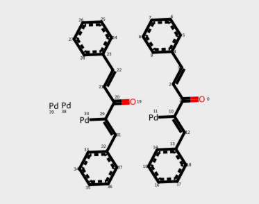 O=C(C=Cc1ccccc1)[C]([Pd])=Cc1ccccc1.O=C(C=Cc1ccccc1)[C]([Pd])=Cc1ccccc1.[Pd].[Pd]